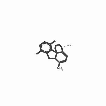 Cc1ccc(C)c2c1CC1C(N)=CC=C3[C@@H](C)CCCC321